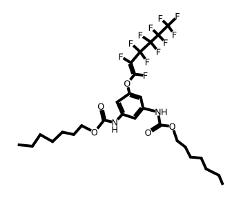 CCCCCCCOC(=O)Nc1cc(NC(=O)OCCCCCCC)cc(OC(F)=C(F)C(F)(F)C(F)(F)C(F)(F)C(F)(F)F)c1